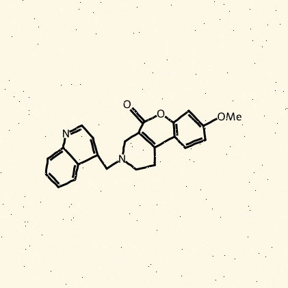 COc1ccc2c3c(c(=O)oc2c1)CN(Cc1ccnc2ccccc12)CC3